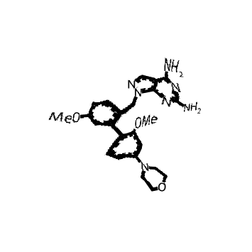 COc1ccc(Cn2ncc3c(N)nc(N)nc32)c(-c2ccc(N3CCOCC3)cc2OC)c1